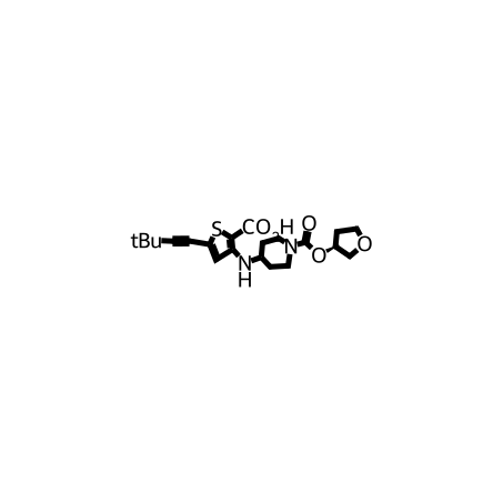 CC(C)(C)C#Cc1cc(NC2CCN(C(=O)O[C@H]3CCOC3)CC2)c(C(=O)O)s1